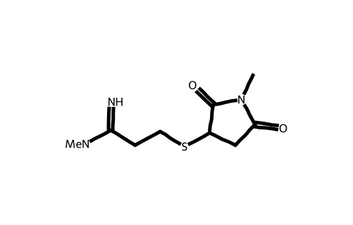 CNC(=N)CCSC1CC(=O)N(C)C1=O